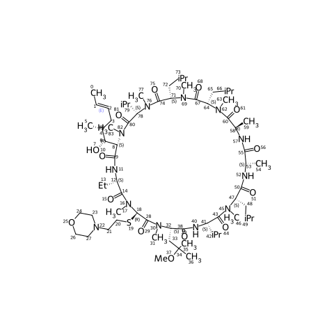 C/C=C/C[C@@H](C)[C@@H](O)[C@H]1C(=O)N[C@@H](CC)C(=O)N(C)[C@H](SCCN2CCOCC2)C(=O)N(C)[C@@H](CC(C)(C)OC)C(=O)N[C@@H](C(C)C)C(=O)N(C)[C@@H](CC(C)C)C(=O)N[C@@H](C)C(=O)N[C@H](C)C(=O)N(C)[C@@H](CC(C)C)C(=O)N(C)[C@@H](CC(C)C)C(=O)N(C)[C@@H](C(C)C)C(=O)N1C